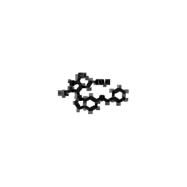 Cc1nn(C)c(-n2ccc3ccc(OCc4ccccc4)cc32)c1C=CC(=O)O